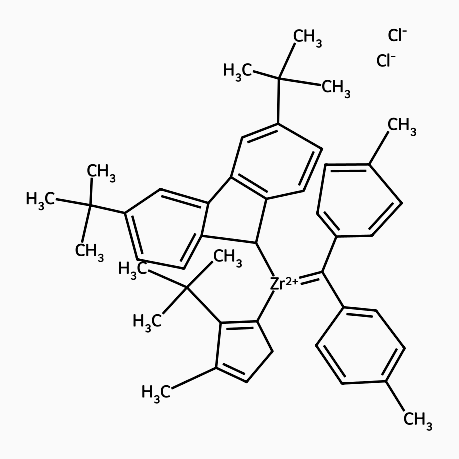 CC1=CC[C]([Zr+2](=[C](c2ccc(C)cc2)c2ccc(C)cc2)[CH]2c3ccc(C(C)(C)C)cc3-c3cc(C(C)(C)C)ccc32)=C1C(C)(C)C.[Cl-].[Cl-]